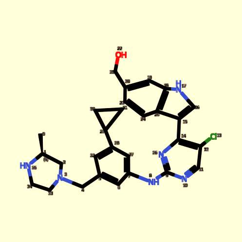 C[C@H]1CN(Cc2cc(Nc3ncc(Cl)c(-c4c[nH]c5cc(CO)ccc45)n3)cc(C3CC3)c2)CCN1